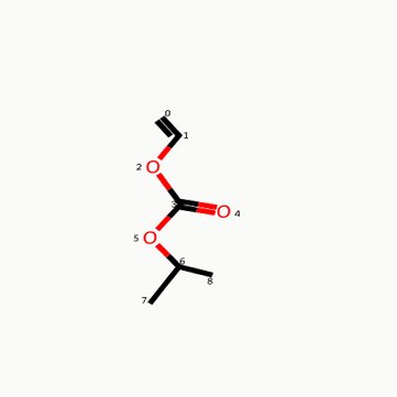 C=COC(=O)OC(C)C